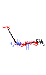 CC(C)C(=O)COCCOCCNC(=O)COCCOCCNC(=O)[C@H](CN)NC(=O)CCCCCCCCCCCCCCCCC(=O)O